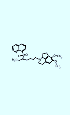 CCN(CCCCN1CCc2cc(OC)c(OC)c3c2C1CC3)S(=O)(=O)c1cccc2cccnc12